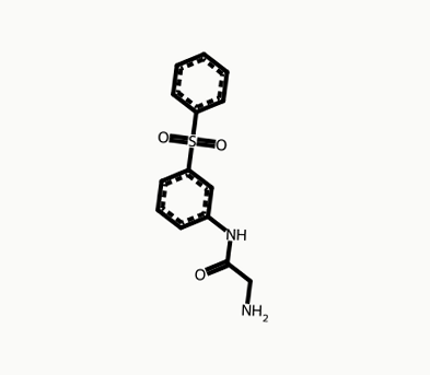 NCC(=O)Nc1cccc(S(=O)(=O)c2ccccc2)c1